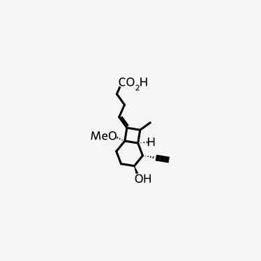 C#C[C@@H]1[C@@H](O)CC[C@@]2(OC)C(=CCCC(=O)O)C(C)[C@@H]12